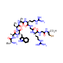 CC[C@H](C)[C@H](N)C(=O)N[C@@H](C)C(=O)N[C@@H](Cc1c[nH]c2ccccc12)C(=O)N[C@@H](CC(C)C)C(=O)N[C@H](C(=O)N[C@@H](CCCNC(=N)N)C(=O)NCC(=O)N[C@@H](CCCNC(=N)N)C(=O)NCC(=O)N[C@@H](CS)C(=O)O)C(C)C